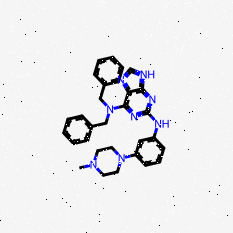 CN1CCN(c2cccc(Nc3nc(N(Cc4ccccc4)Cc4ccccc4)c4nc[nH]c4n3)c2)CC1